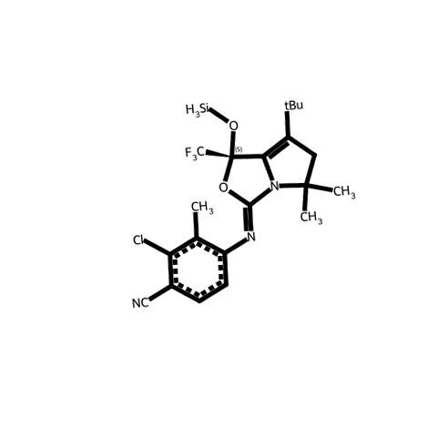 Cc1c(N=C2O[C@@](O[SiH3])(C(F)(F)F)C3=C(C(C)(C)C)CC(C)(C)N23)ccc(C#N)c1Cl